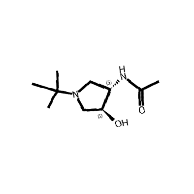 CC(=O)N[C@H]1CN(C(C)(C)C)C[C@@H]1O